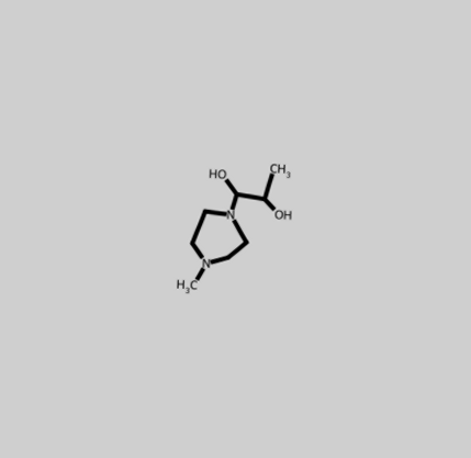 CC(O)C(O)N1CCN(C)CC1